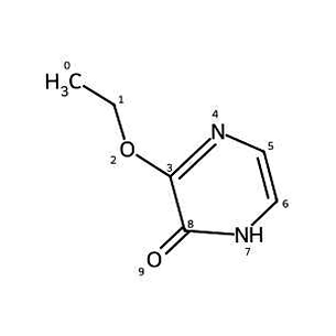 CCOc1ncc[nH]c1=O